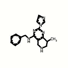 CC1CNCc2c(NCc3ccccc3)nc(-n3ccnc3)nc21